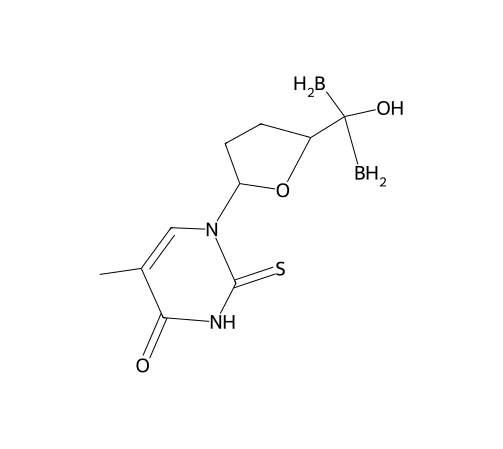 BC(B)(O)C1CCC(n2cc(C)c(=O)[nH]c2=S)O1